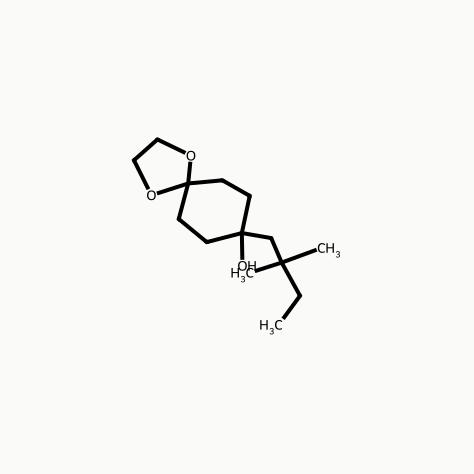 CCC(C)(C)CC1(O)CCC2(CC1)OCCO2